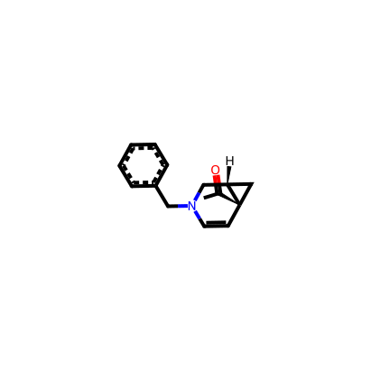 CC(=O)[C@@]12C=CN(Cc3ccccc3)C[C@@H]1C2